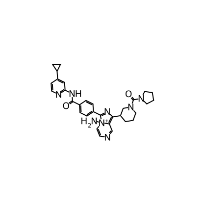 N[N+]12C=CN=CC1=C(C1CCCN(C(=O)N3CCCC3)C1)N=C2c1ccc(C(=O)Nc2cc(C3CC3)ccn2)cc1